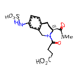 CNC(=O)[C@@H]1Cc2ccc(NS(=O)(=O)O)cc2CN1C(=O)CCC(=O)O